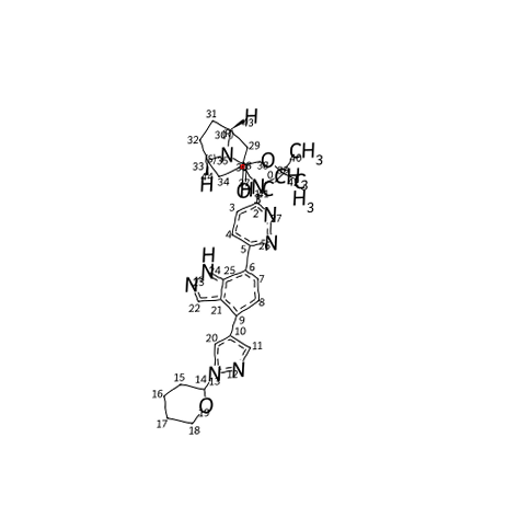 CN(c1ccc(-c2ccc(-c3cnn(C4CCCCO4)c3)c3cn[nH]c23)nn1)C1C[C@H]2CC[C@@H](C1)N2C(=O)OC(C)(C)C